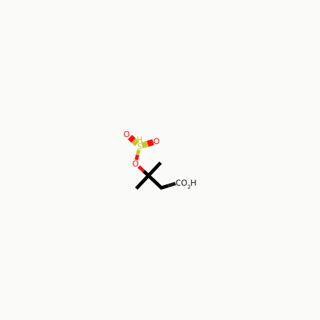 CC(C)(CC(=O)O)O[SH](=O)=O